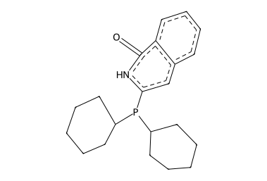 O=c1[nH]c(P(C2CCCCC2)C2CCCCC2)cc2ccccc12